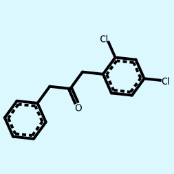 O=C(Cc1ccccc1)Cc1ccc(Cl)cc1Cl